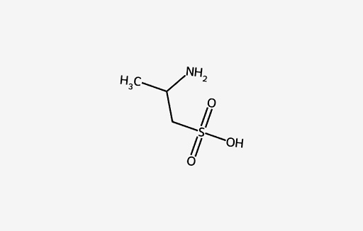 CC(N)CS(=O)(=O)O